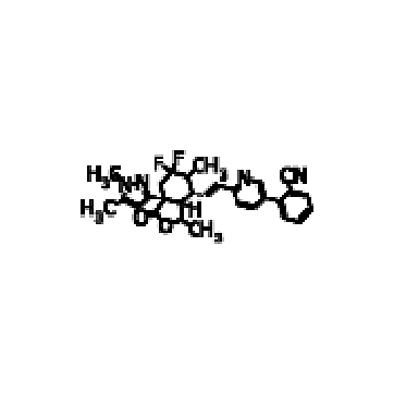 Cc1cc([C@@]23CC(F)(F)[C@@H](C)[C@H](C=Cc4ccc(-c5ccccc5C#N)cn4)[C@@H]2[C@@H](C)OC3=O)nn1C